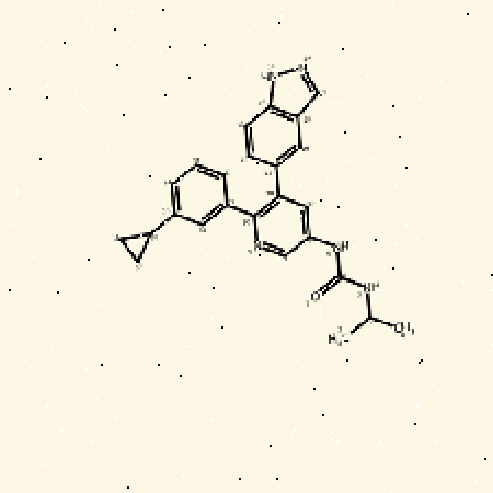 CC(C)NC(=O)Nc1cnc(-c2cccc(C3CC3)c2)c(-c2ccc3[nH]ncc3c2)c1